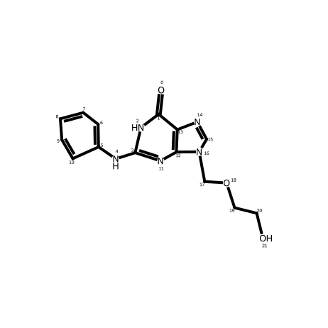 O=c1[nH]c(Nc2ccccc2)nc2c1ncn2COCCO